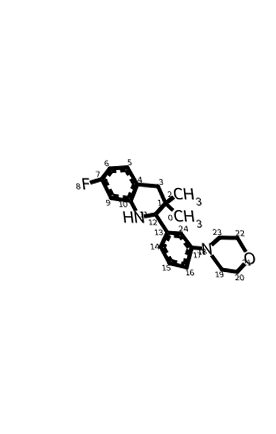 CC1(C)Cc2ccc(F)cc2NC1c1cccc(N2CCOCC2)c1